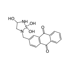 O=C1c2ccccc2C(=O)c2cc(CN3CC(O)NS3(O)O)ccc21